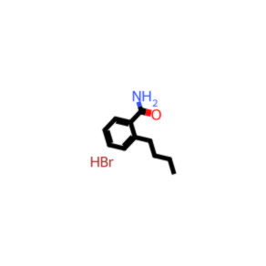 Br.CCCCc1ccccc1C(N)=O